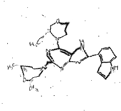 C[C@@H]1CN(c2nc(N3CCOC[C@H]3C)c3[nH]c(-c4cccc5[nH]ccc45)nc3n2)C[C@H](C)O1